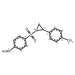 CC(=O)Nc1ccc(S(=O)(=O)N2CC2c2ccc(C)cc2)cc1